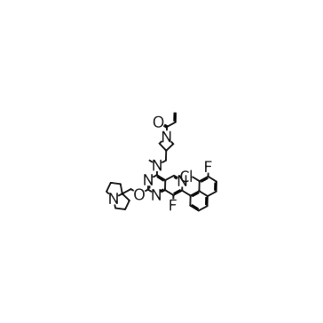 C=CC(=O)N1CC(CN(C)c2nc(OCC34CCCN3CCC4)nc3c(F)c(-c4cccc5ccc(F)c(Cl)c45)ncc23)C1